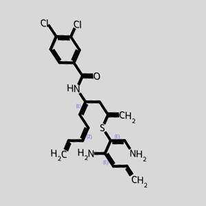 C=C/C=C\C=C(/CC(=C)SC(=C/N)/C(N)=C\C=C)NC(=O)c1ccc(Cl)c(Cl)c1